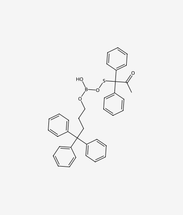 CC(=O)C(SOB(O)OCCCC(c1ccccc1)(c1ccccc1)c1ccccc1)(c1ccccc1)c1ccccc1